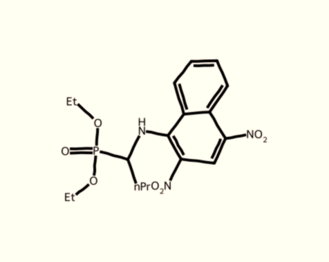 CCCC(Nc1c([N+](=O)[O-])cc([N+](=O)[O-])c2ccccc12)P(=O)(OCC)OCC